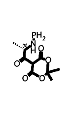 C[C@H](NP)C(=O)C1C(=O)OC(C)(C)OC1=O